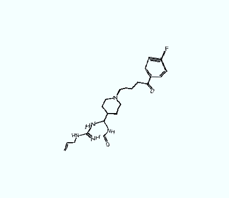 C=CCNC(=N)NC(NC=O)C1CCN(CCCC(=O)c2ccc(F)cc2)CC1